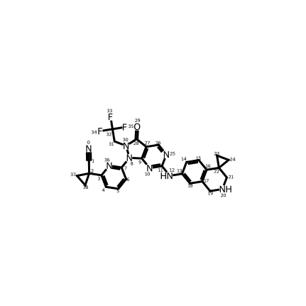 N#CC1(c2cccc(-n3c4nc(Nc5ccc6c(c5)CNCC65CC5)ncc4c(=O)n3CC(F)(F)F)n2)CC1